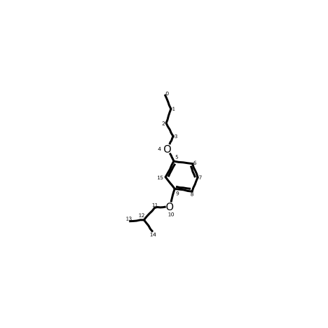 CCCCOc1cccc(OCC(C)C)c1